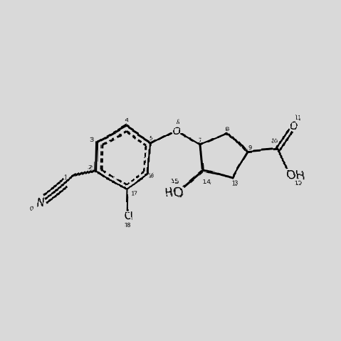 N#Cc1ccc(OC2CC(C(=O)O)CC2O)cc1Cl